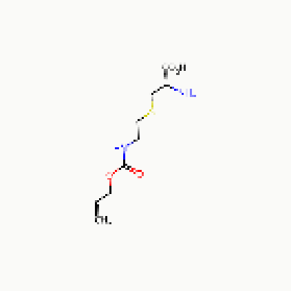 C=CCOC(=O)NCCSC[C@H](N)C(=O)O